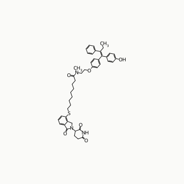 CCC(=C(c1ccc(O)cc1)c1ccc(OCCN(C)C(=O)CCCCCCCCSc2cccc3c2CN(C2CCC(=O)NC2=O)C3=O)cc1)c1ccccc1